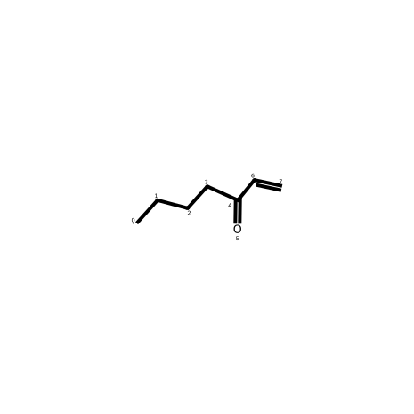 [CH2]CC[CH]C(=O)C=C